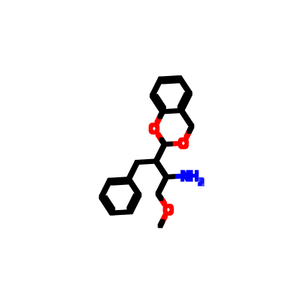 COCC(N)C(Cc1ccccc1)C1OCc2ccccc2O1